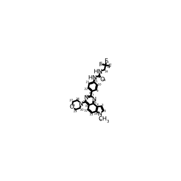 Cn1ccc2c3nc(-c4ccc(NC(=O)NCC(F)(F)F)cc4)nc(N4CCOCC4)c3ccc21